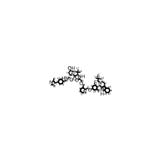 Cc1ncsc1-c1ccc(CNC(=O)[C@@H]2C[C@@H](O)CN2C(=O)[C@@H](NC(=O)COCc2cccnc2COc2cc(F)c([C@@H]3c4[nH]c5ccccc5c4C[C@@H](C)N3CC(C)(C)F)c(F)c2)C(C)(C)C)cc1